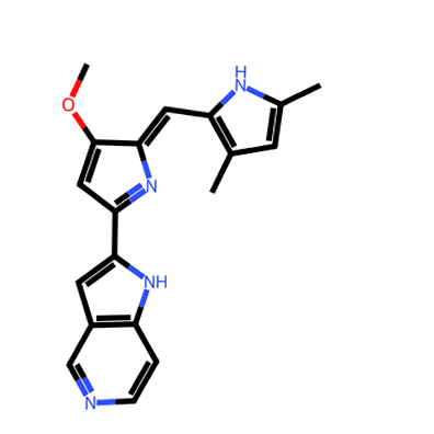 COC1=CC(c2cc3cnccc3[nH]2)=NC1=Cc1[nH]c(C)cc1C